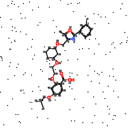 Cc1cccc(-c2nc(COC3CCCC(OCCOc4cc(OCC(C)C)ccc4C(=O)O)C3)c(C)o2)c1